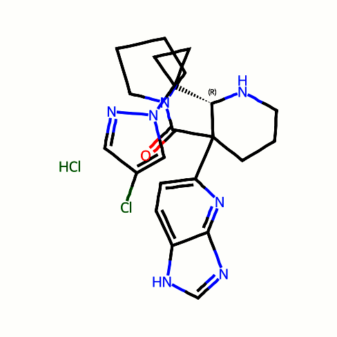 Cl.O=C(N1CCCC1)C1(c2ccc3[nH]cnc3n2)CCCN[C@H]1C1(n2cc(Cl)cn2)CC1